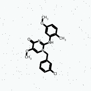 COc1ccc(C)c(Nc2nc(=O)c(OC)cn2Cc2cccc(Cl)c2)c1